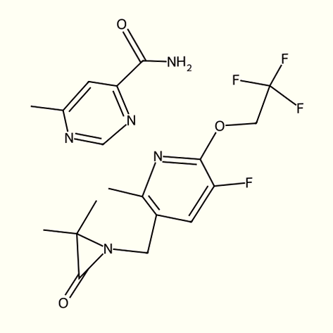 Cc1cc(C(N)=O)ncn1.Cc1nc(OCC(F)(F)F)c(F)cc1CN1C(=O)C1(C)C